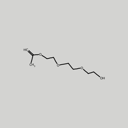 [CH]=C(C)OCCOCCOCCO